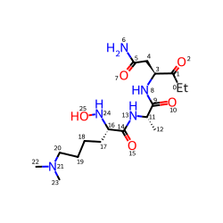 CCC(=O)[C@H](CC(N)=O)NC(=O)[C@H](C)NC(=O)[C@H](CCCCN(C)C)NO